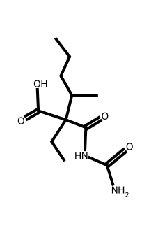 CCCC(C)C(CC)(C(=O)O)C(=O)NC(N)=O